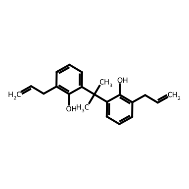 C=CCc1cccc(C(C)(C)c2cccc(CC=C)c2O)c1O